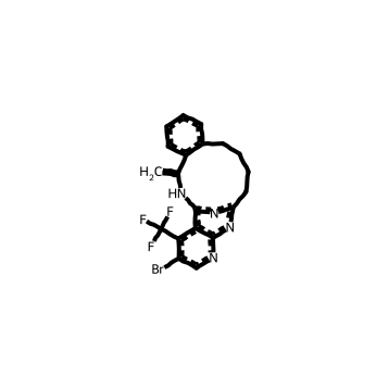 C=C1Nc2nc(nc3ncc(Br)c(C(F)(F)F)c23)CCCCc2ccccc21